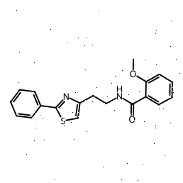 COc1ccccc1C(=O)NCCc1csc(-c2ccccc2)n1